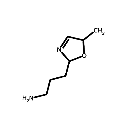 CC1C=NC(CCCN)O1